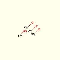 O=N[O-].O=N[O-].O=N[O-].[C+3]O